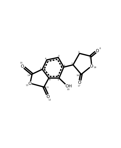 O=C1CC(c2ccc3c(c2O)C(=O)OC3=O)C(=O)O1